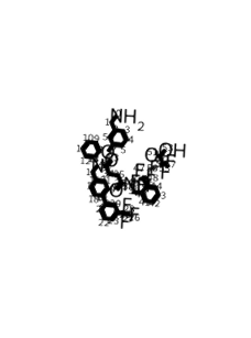 NCc1cccc(Oc2ccccc2N(Cc2ccc(-c3cccc(C(F)(F)F)c3)cc2)C(=O)CCC(=O)NCc2ccccc2C(F)(F)F)c1.O=C(O)C(F)(F)F